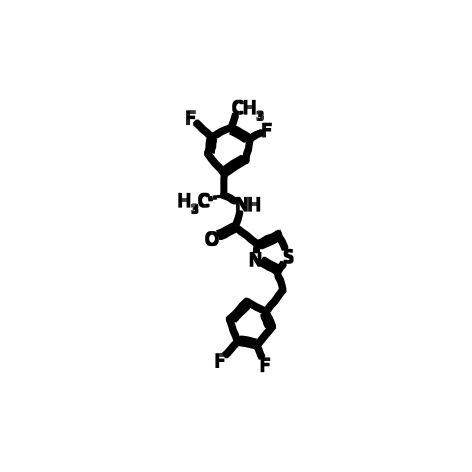 Cc1c(F)cc([C@@H](C)NC(=O)c2csc(Cc3ccc(F)c(F)c3)n2)cc1F